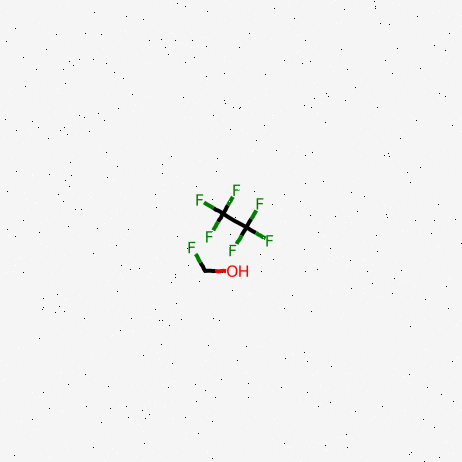 FC(F)(F)C(F)(F)F.OCF